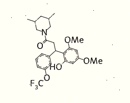 COc1cc(O)c(C(CC(=O)N2CC(C)CC(C)C2)c2cccc(OC(F)(F)F)c2)c(OC)c1